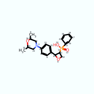 CC1CN(c2ccc(C3OCC3P(=O)(O)c3ccccc3)cc2)CC(C)O1